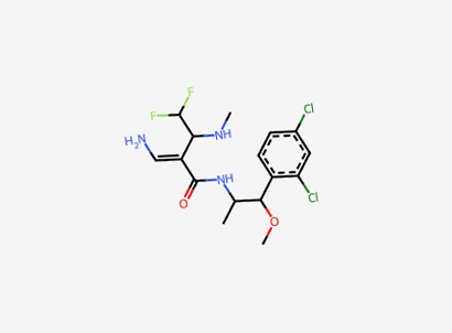 CNC(/C(=C\N)C(=O)NC(C)C(OC)c1ccc(Cl)cc1Cl)C(F)F